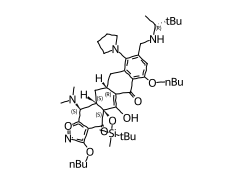 CCCCOc1cc(CN[C@H](C)C(C)(C)C)c(N2CCCC2)c2c1C(=O)C1=C(O)[C@]3(O[Si](C)(C)C(C)(C)C)C(=O)c4c(OCCCC)noc4[C@@H](N(C)C)[C@@H]3C[C@@H]1C2